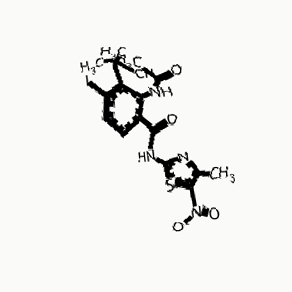 CC(=O)Nc1c(C(=O)Nc2nc(C)c([N+](=O)[O-])s2)ccc(I)c1C(C)(C)C